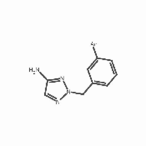 CC(=O)c1cccc(Cn2ncc(N)n2)c1